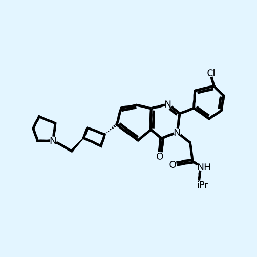 CC(C)NC(=O)Cn1c(-c2cccc(Cl)c2)nc2ccc([C@H]3C[C@H](CN4CCCC4)C3)cc2c1=O